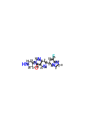 Cc1cn2cc(-c3cc4ncn(C5CCNCC5)c(=O)c4cn3)cc(F)c2n1